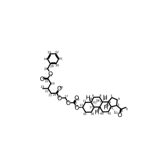 CC(=O)C1CC[C@H]2[C@@H]3CC[C@H]4C[C@H](OC(=O)OCOC(=O)CC(C)CC(=O)OCc5ccccc5)CC[C@]4(C)[C@H]3CC[C@]12C